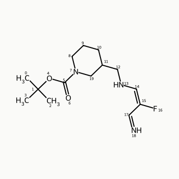 CC(C)(C)OC(=O)N1CCCC(CN/C=C(/F)C=N)C1